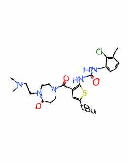 Cc1cccc(NC(=O)Nc2sc(C(C)(C)C)cc2C(=O)N2CCC(=O)N(CCN(C)C)CC2)c1Cl